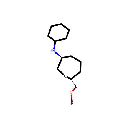 CCOC[C@H]1CCC[C@H](NC2CCCCC2)CC1